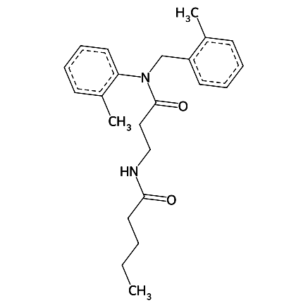 CCCCC(=O)NCCC(=O)N(Cc1ccccc1C)c1ccccc1C